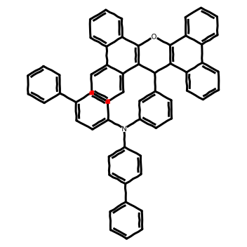 c1ccc(-c2ccc(N(c3ccc(-c4ccccc4)cc3)c3cccc(C4c5c(c6ccccc6c6ccccc56)Oc5c4c4ccccc4c4ccccc54)c3)cc2)cc1